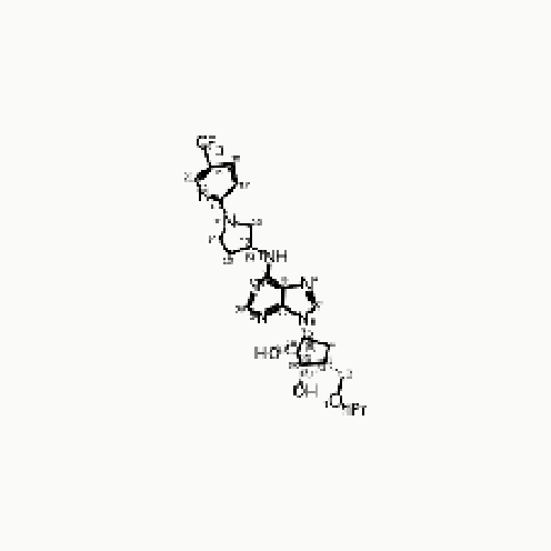 CC(C)OC[C@H]1C[C@@H](n2cnc3c(N[C@H]4CCN(c5ccc(C(F)(F)F)cn5)C4)ncnc32)[C@@H](O)[C@H]1O